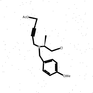 COc1ccc(CN(CC#CCOC(C)=O)[C@@H](C)CCl)cc1